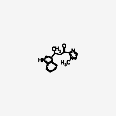 CC(CC(=O)c1nccn1C)c1c[nH]c2ccccc12